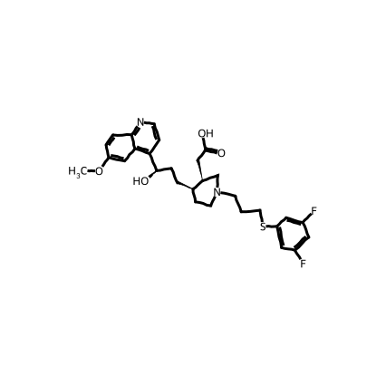 COc1ccc2nccc([C@H](O)CC[C@@H]3CCN(CCCSc4cc(F)cc(F)c4)C[C@@H]3CC(=O)O)c2c1